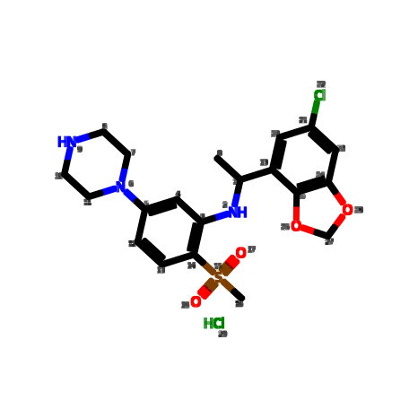 CC(Nc1cc(N2CCNCC2)ccc1S(C)(=O)=O)c1cc(Cl)cc2c1OCO2.Cl